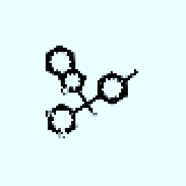 Fc1ccc(C(F)(c2cncnc2)c2cc3ccccc3o2)cc1